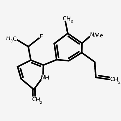 C=CCc1cc(C2=C(C(C)F)C=CC(=C)N2)cc(C)c1NC